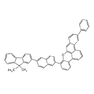 CC1(C)c2ccccc2-c2ccc(-c3ccc4cc(-c5cccc6c5Oc5cc7ccc(-c8ccccc8)cc7c7cccc-6c57)ccc4c3)cc21